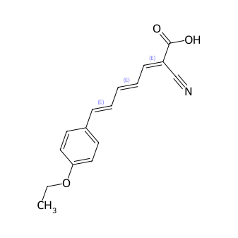 CCOc1ccc(/C=C/C=C/C=C(\C#N)C(=O)O)cc1